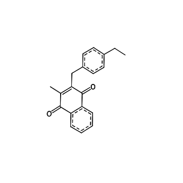 CCc1ccc(CC2=C(C)C(=O)c3ccccc3C2=O)cc1